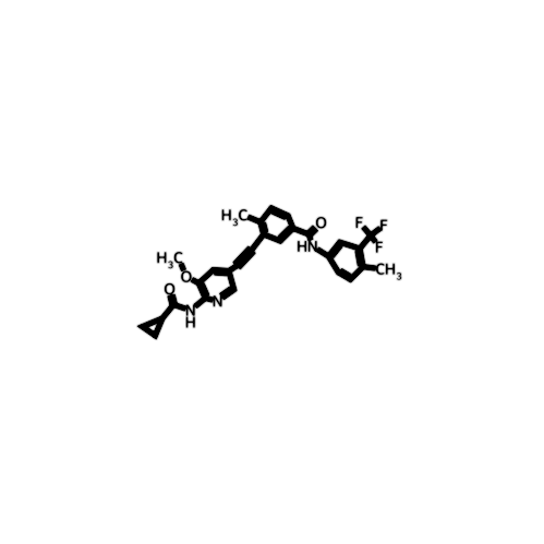 COc1cc(C#Cc2cc(C(=O)Nc3ccc(C)c(C(F)(F)F)c3)ccc2C)cnc1NC(=O)C1CC1